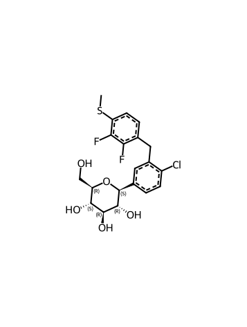 CSc1ccc(Cc2cc([C@@H]3O[C@H](CO)[C@@H](O)[C@H](O)[C@H]3O)ccc2Cl)c(F)c1F